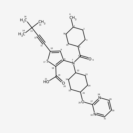 CC1CCC(C(=O)N(c2cc(C#CC(C)(C)C)sc2C(=O)O)C2CCC(Oc3ncccn3)CC2)CC1